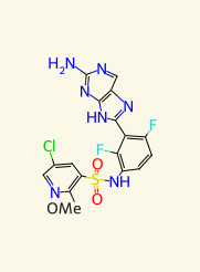 COc1ncc(Cl)cc1S(=O)(=O)Nc1ccc(F)c(-c2nc3cnc(N)nc3[nH]2)c1F